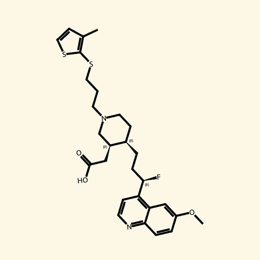 COc1ccc2nccc([C@H](F)CC[C@@H]3CCN(CCCSc4sccc4C)C[C@@H]3CC(=O)O)c2c1